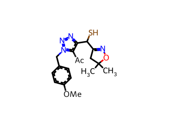 COc1ccc(Cn2nnc(C(S)C3=NOC(C)(C)C3)c2C(C)=O)cc1